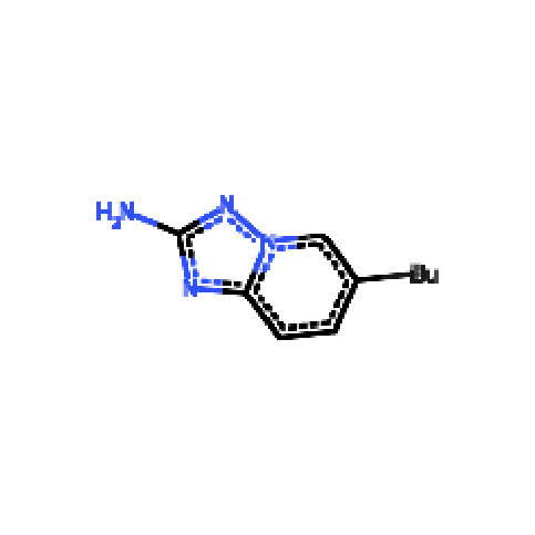 CCC(C)c1ccc2nc(N)nn2c1